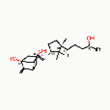 C=C1C2C[C@@H](O)C[C@]1(O)C2/C=C/[C@@H]1CC[C@](C)([C@@H](C)CC[C@@H](O)C(C)C)C1(C)C